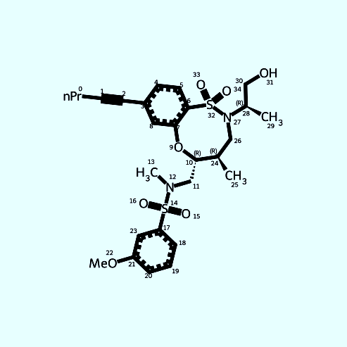 CCCC#Cc1ccc2c(c1)O[C@@H](CN(C)S(=O)(=O)c1cccc(OC)c1)[C@H](C)CN([C@H](C)CO)S2(=O)=O